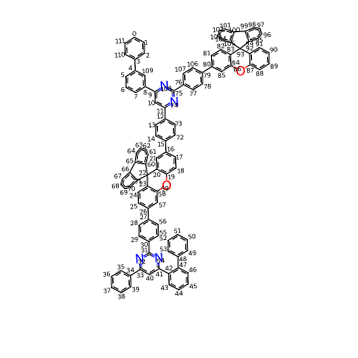 c1ccc(-c2cccc(-c3cc(-c4ccc(-c5ccc6c(c5)C5(c7ccc(-c8ccc(-c9nc(-c%10ccccc%10)cc(-c%10ccccc%10-c%10ccccc%10)n9)cc8)cc7O6)c6ccccc6-c6ccccc65)cc4)nc(-c4ccc(-c5ccc6c(c5)Oc5ccccc5C65c6ccccc6-c6ccccc65)cc4)n3)c2)cc1